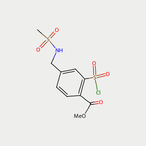 COC(=O)c1ccc(CNS(C)(=O)=O)cc1S(=O)(=O)Cl